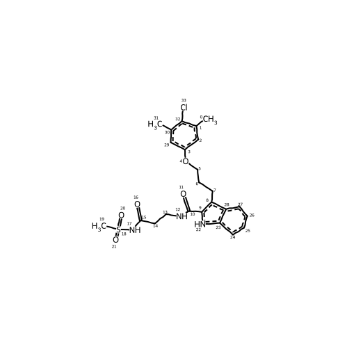 Cc1cc(OCCCc2c(C(=O)NCCC(=O)NS(C)(=O)=O)[nH]c3ccccc23)cc(C)c1Cl